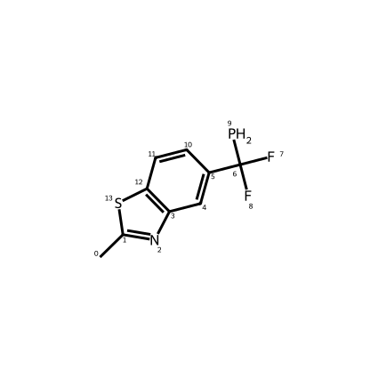 Cc1nc2cc(C(F)(F)P)ccc2s1